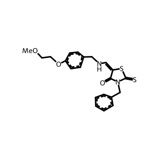 COCCOc1ccc(CNC=C2SC(=S)N(Cc3ccccc3)C2=O)cc1